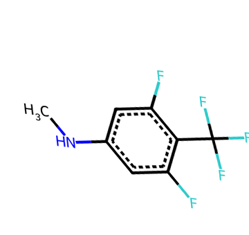 CNc1cc(F)c(C(F)(F)F)c(F)c1